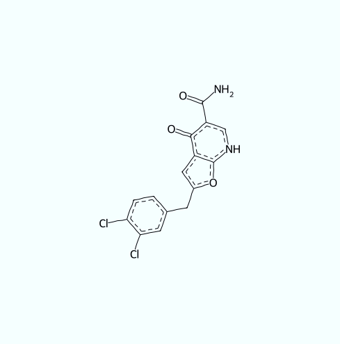 NC(=O)c1c[nH]c2oc(Cc3ccc(Cl)c(Cl)c3)cc2c1=O